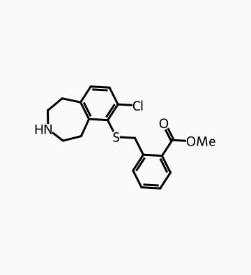 COC(=O)c1ccccc1CSc1c(Cl)ccc2c1CCNCC2